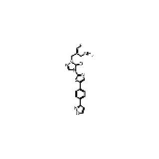 NC/C(=C\F)Cn1ncn(-c2ncc(-c3ccc(-c4ccon4)cc3)s2)c1=O